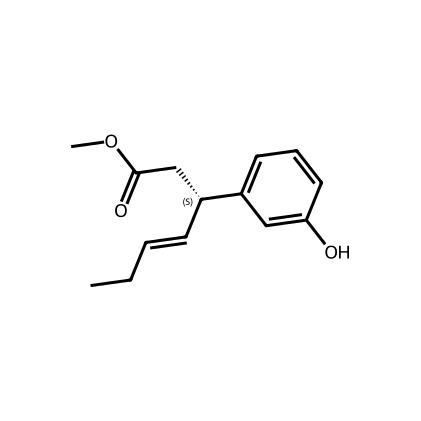 CCC=C[C@H](CC(=O)OC)c1cccc(O)c1